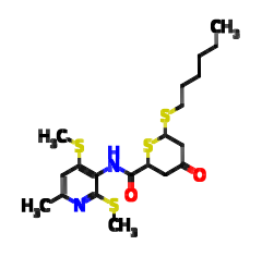 CCCCCCSC1CC(=O)CC(C(=O)Nc2c(SC)cc(C)nc2SC)S1